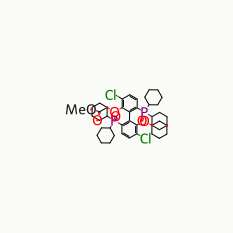 COC(=O)COc1c(Cl)ccc(P(=O)(C2CCCCC2)C2CCCCC2)c1-c1c(P(=O)(C2CCCCC2)C2CCCCC2)ccc(Cl)c1OC1CCCCC1